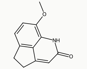 COc1ccc2c3c(cc(=O)[nH]c13)CC2